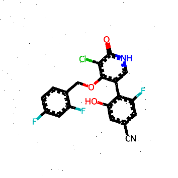 N#Cc1cc(O)c(-c2c[nH]c(=O)c(Cl)c2OCc2ccc(F)cc2F)c(F)c1